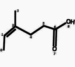 CC=C(C)CCC(=O)O